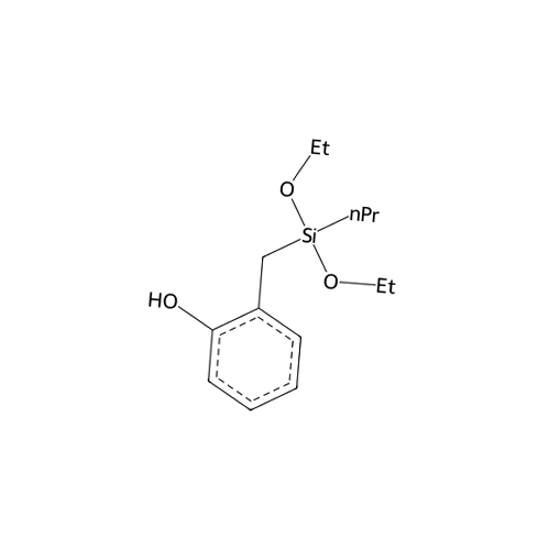 CCC[Si](Cc1ccccc1O)(OCC)OCC